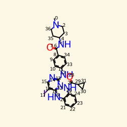 CN1CCC(NC(=O)c2ccc(Nc3ncc(I)c(Nc4ccccc4NC(=O)C4CC4)n3)cc2)CC1